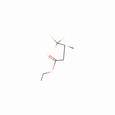 CCOC(=O)C[C@H](C)C(F)(F)F